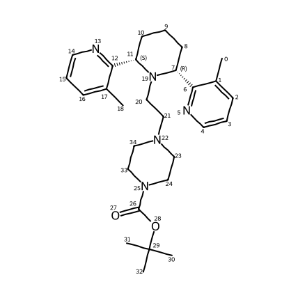 Cc1cccnc1[C@H]1CCC[C@@H](c2ncccc2C)N1CCN1CCN(C(=O)OC(C)(C)C)CC1